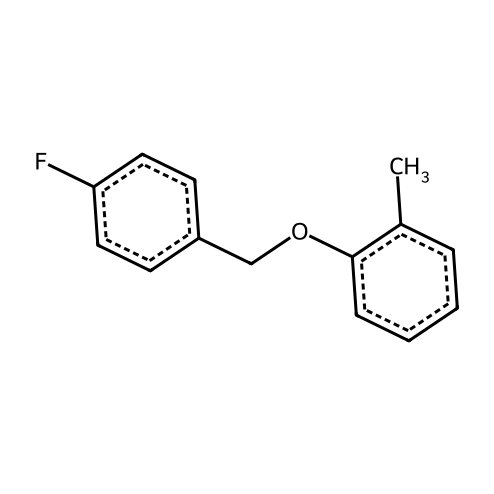 Cc1ccccc1OCc1ccc(F)cc1